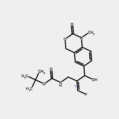 CN1C(=O)OCc2cc(C(O)/C(=C\F)CNC(=O)OC(C)(C)C)ccc21